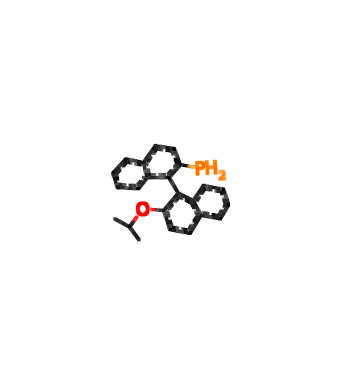 CC(C)Oc1ccc2ccccc2c1-c1c(P)ccc2ccccc12